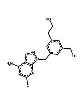 Nc1nc(Cl)nc2c1cnn2Cc1cc(CO)cc(CCO)c1